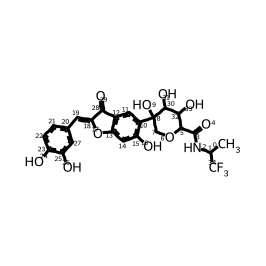 CC(NC(=O)C1OCC(O)(c2cc3c(cc2O)O/C(=C\c2ccc(O)c(O)c2)C3=O)C(O)C1O)C(F)(F)F